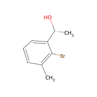 Cc1cccc([C@@H](C)O)c1Br